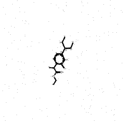 CCOC(=O)C(C)c1ccc(C(CC)CC)cc1C